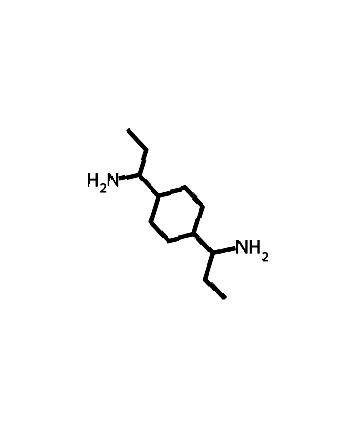 CCC(N)C1CCC(C(N)CC)CC1